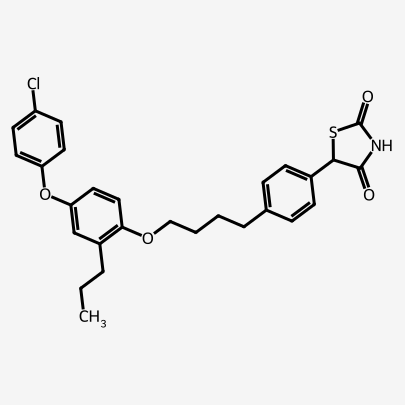 CCCc1cc(Oc2ccc(Cl)cc2)ccc1OCCCCc1ccc(C2SC(=O)NC2=O)cc1